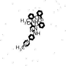 Cc1cccc(C)c1NC(=O)c1cnc(Nc2ccc(N3CCN(C)CC3)cc2)nc1Oc1ccccc1OCc1ccccc1